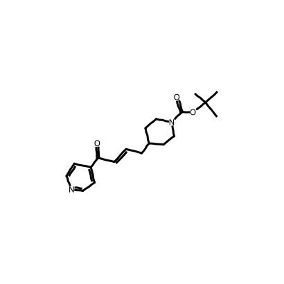 CC(C)(C)OC(=O)N1CCC(CC=CC(=O)c2ccncc2)CC1